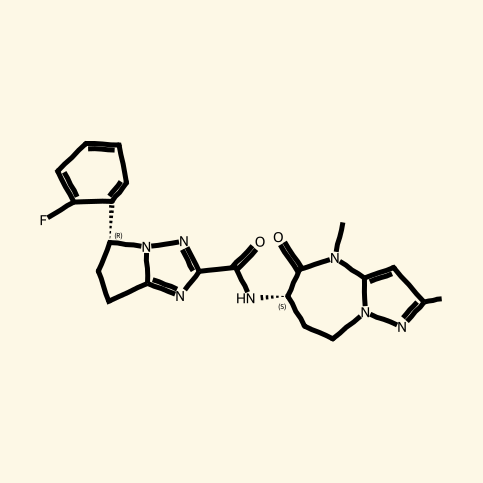 Cc1cc2n(n1)CC[C@H](NC(=O)c1nc3n(n1)[C@@H](c1ccccc1F)CC3)C(=O)N2C